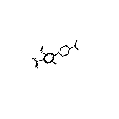 COc1cc(N2CCC(N(C)C)CC2)c(C)cc1[N+](=O)[O-]